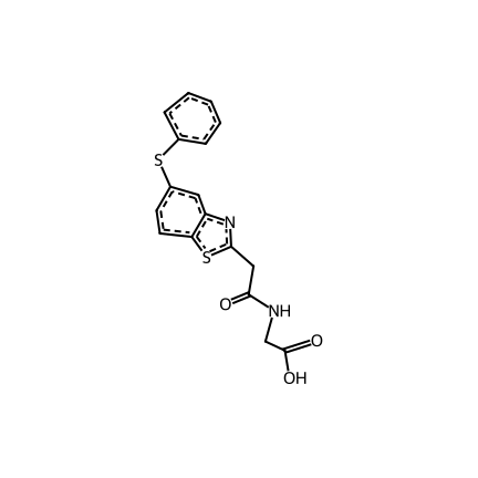 O=C(O)CNC(=O)Cc1nc2cc(Sc3ccccc3)ccc2s1